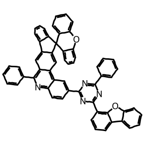 c1ccc(-c2nc(-c3ccc4nc(-c5ccccc5)c5cc6c(cc5c4c3)C3(c4ccccc4Oc4ccccc43)c3ccccc3-6)nc(-c3cccc4c3oc3ccccc34)n2)cc1